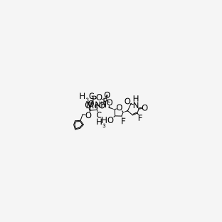 COP(=O)(OC[C@H]1O[C@@H](C2C=C(F)C(=O)NC2=O)[C@H](F)C1O)OP(C)(=O)N[C@@H](C)C(=O)OCc1ccccc1